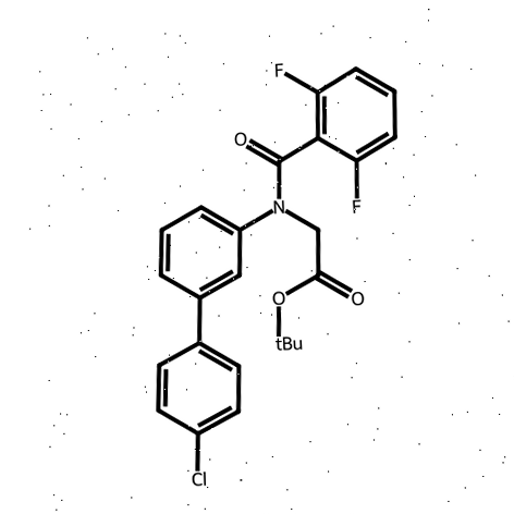 CC(C)(C)OC(=O)CN(C(=O)c1c(F)cccc1F)c1cccc(-c2ccc(Cl)cc2)c1